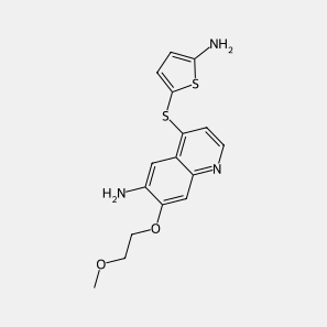 COCCOc1cc2nccc(Sc3ccc(N)s3)c2cc1N